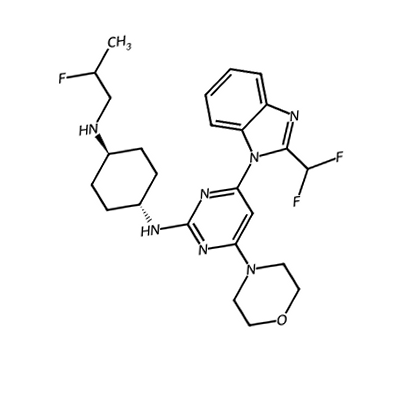 CC(F)CN[C@H]1CC[C@H](Nc2nc(N3CCOCC3)cc(-n3c(C(F)F)nc4ccccc43)n2)CC1